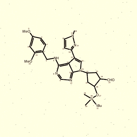 COc1ccc(CNc2ncnc3c2c(-c2ccn(C)n2)cn3C2CC(C=O)C(O[Si](C)(C)C(C)(C)C)C2)c(OC)c1